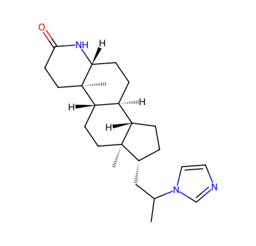 CC(C[C@H]1CC[C@H]2[C@@H]3CC[C@H]4NC(=O)CC[C@]4(C)[C@H]3CC[C@]12C)n1ccnc1